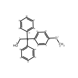 COc1ccc(C(CO)(c2ccccc2)c2ccccc2)cc1